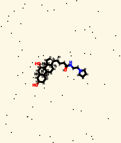 C[C@H](CCC(=O)NCCN1CCCC1)[C@H]1CC[C@H]2[C@@H]3[C@@H](O)C[C@@H]4C[C@H](O)CC[C@]4(C)[C@H]3CC[C@]12C